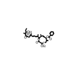 C=C1CCC(O)CC(=O)OC(/C(C)=C/C=C/C(C)(O)CC2OC2C(C)C(O)CC)C(C)/C=C/C1OC(=O)c1ccccc1